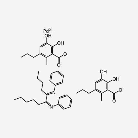 CCCCCC(=Nc1ccccc1)C(CCCC)=Nc1ccccc1.CCCc1cc(O)c(O)c(C(=O)[O-])c1C.CCCc1cc(O)c(O)c(C(=O)[O-])c1C.[Pd+2]